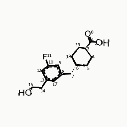 O=C(O)[C@H]1CC[C@H](Cc2cc(F)cc(CCO)c2)CC1